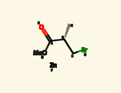 COC(=O)[C@H](C)CBr.[Zn]